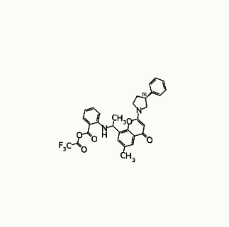 Cc1cc(C(C)Nc2ccccc2C(=O)OC(=O)C(F)(F)F)c2oc(N3CC[C@@H](c4ccccc4)C3)cc(=O)c2c1